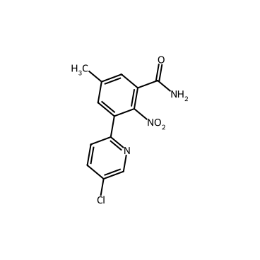 Cc1cc(C(N)=O)c([N+](=O)[O-])c(-c2ccc(Cl)cn2)c1